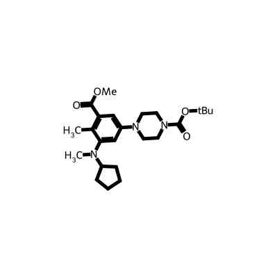 COC(=O)c1cc(N2CCN(C(=O)OC(C)(C)C)CC2)cc(N(C)C2CCCC2)c1C